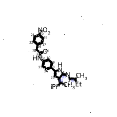 CC/C(C)=C/N=C1/NC(c2ccc(NC(=O)Cc3ccc([N+](=O)[O-])cc3)cc2)=C/C1=C(/C)C(C)C